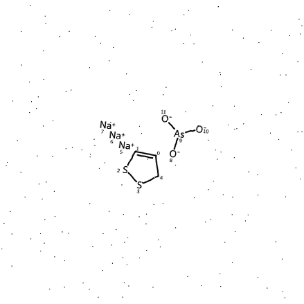 C1=CSSC1.[Na+].[Na+].[Na+].[O-][As]([O-])[O-]